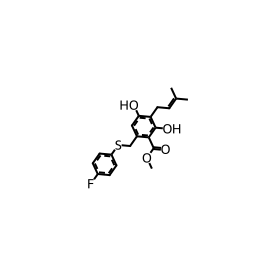 COC(=O)c1c(CSc2ccc(F)cc2)cc(O)c(CC=C(C)C)c1O